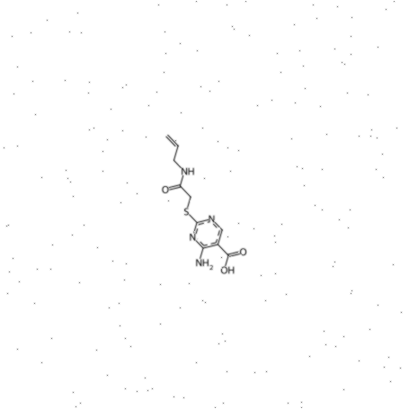 C=CCNC(=O)CSc1ncc(C(=O)O)c(N)n1